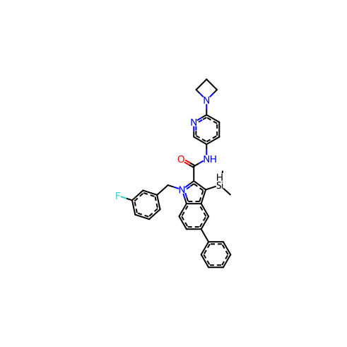 C[SiH](C)c1c(C(=O)Nc2ccc(N3CCC3)nc2)n(Cc2cccc(F)c2)c2ccc(-c3ccccc3)cc12